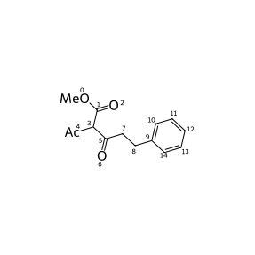 COC(=O)C(C(C)=O)C(=O)CCc1ccccc1